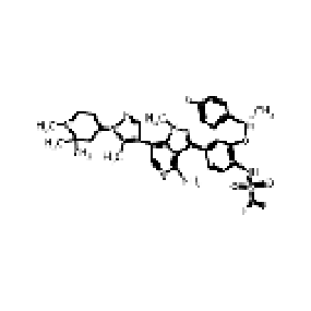 Cc1c(-c2cnc(N)c3c(-c4ccc(NS(=O)(=O)C(F)F)c(O[C@@H](C)c5ccc(F)cc5)c4)nn(C)c23)cnn1C1CCN(C)C(C)(C)C1